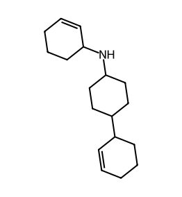 C1=CC(NC2CCC(C3C=CCCC3)CC2)CCC1